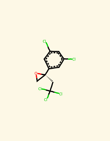 Clc1cc(Cl)cc([C@@]2(CC(Cl)(Cl)Cl)CO2)c1